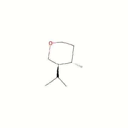 CC(C)[C@H]1COCC[C@@H]1C